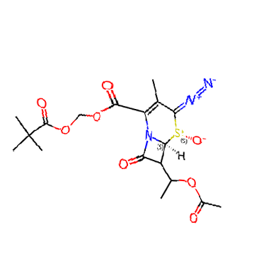 CC(=O)OC(C)C1C(=O)N2C(C(=O)OCOC(=O)C(C)(C)C)=C(C)C(=[N+]=[N-])[S@+]([O-])[C@@H]12